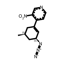 C[C@H]1CC(c2ccncc2[N+](=O)[O-])=C[C@@H](N=[N+]=[N-])C1